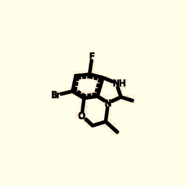 CC1COc2c(Br)cc(F)c3c2N1C(C)N3